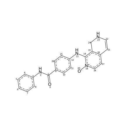 O=C(Nc1ccccc1)c1ccc(Nc2c3c(cc[n+]2[O-])C=CNC3)cc1